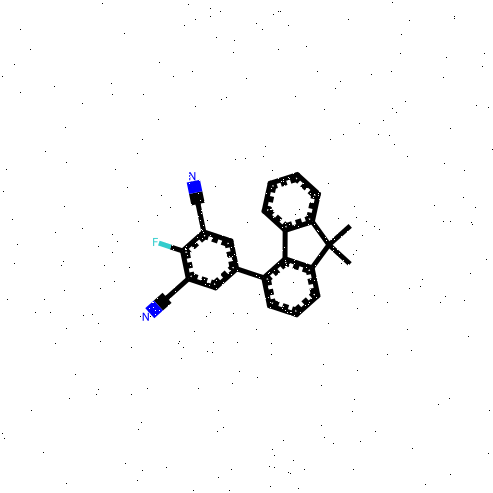 CC1(C)c2ccccc2-c2c(-c3cc(C#N)c(F)c(C#N)c3)cccc21